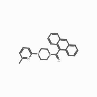 Cc1cccc(N2CCN(C(=O)c3c4ccccc4cc4ccccc34)CC2)n1